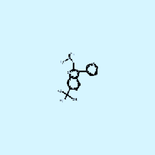 C[SiH](C)Oc1oc2cc(C(C)(C)C)ccc2c1-c1cccnc1